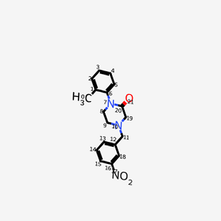 Cc1ccccc1N1CCN(Cc2cccc([N+](=O)[O-])c2)CC1=O